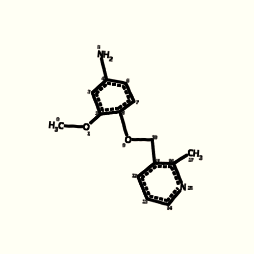 COc1cc(N)ccc1OCc1cccnc1C